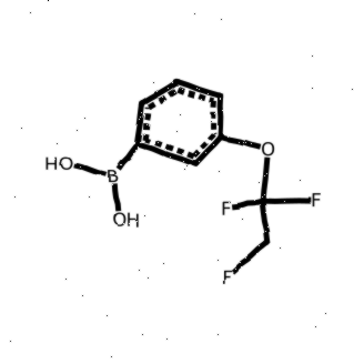 OB(O)c1cccc(OC(F)(F)CF)c1